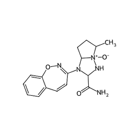 CC1CCC2N(C3=NOc4ccccc4C=C3)C(C(N)=O)N[N+]12[O-]